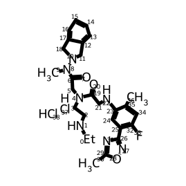 CCNCCN(CC(=O)N(C)N1Cc2ccccc2C1)C(=O)CNc1cc(-c2noc(C)n2)c(F)cc1C.Cl.Cl